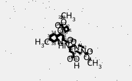 CCOC(=O)N1CCN(C(=O)C(CCC(=O)O)NC(=O)c2cc(OC3(C(=O)OCC)CCC3)c3ccc(C)cc3n2)CC1